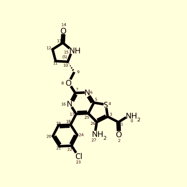 NC(=O)c1sc2nc(OC[C@@H]3CCC(=O)N3)nc(-c3cccc(Cl)c3)c2c1N